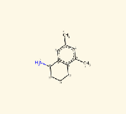 Cc1cc(C)c2c(c1)C(N)CCC2